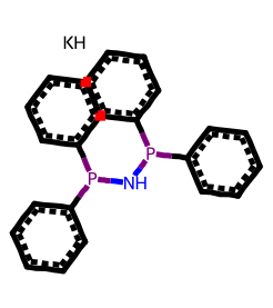 [KH].c1ccc(P(NP(c2ccccc2)c2ccccc2)c2ccccc2)cc1